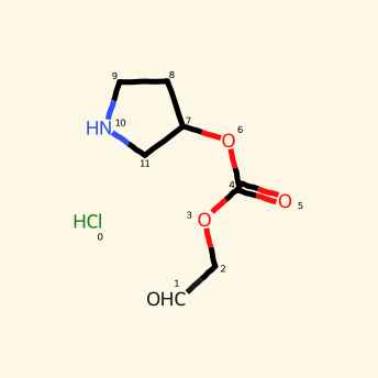 Cl.O=CCOC(=O)OC1CCNC1